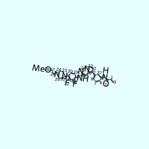 C=CC(=O)Nc1cccc(-c2ccn3cnc(Nc4ccc(N5CCN(CCOC)CC5)c(F)c4F)cc23)c1